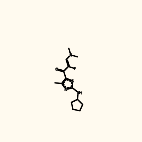 Cc1nc(NC2CCCC2)sc1C(=O)C(F)=CN(C)C